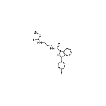 CC(C)(C)OC(=O)NCCCNC(=O)n1nc(-c2ccc(F)cc2)c2c[c]ccc21